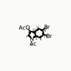 CC(=O)Oc1cn(C(C)=O)c2cc(Br)c(Br)cc12